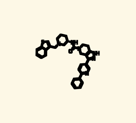 O=C(N[C@@H]1CCCN(Cc2csc3ccccc23)C1)N1CCc2[nH]nc(-c3ccc(-c4ccccc4)nc3)c2C1